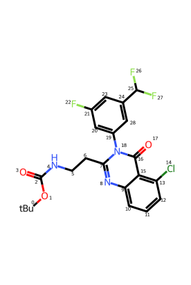 CC(C)(C)OC(=O)NCCc1nc2cccc(Cl)c2c(=O)n1-c1cc(F)cc(C(F)F)c1